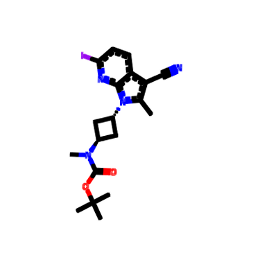 Cc1c(C#N)c2ccc(I)nc2n1[C@H]1C[C@H](N(C)C(=O)OC(C)(C)C)C1